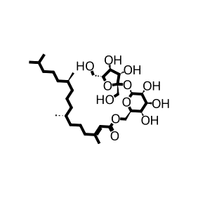 C/C(=C\C(=O)OC[C@H]1O[C@H](O[C@]2(CO)O[C@H](CO)[C@@H](O)[C@@H]2O)[C@H](O)[C@@H](O)[C@@H]1O)CCC[C@H](C)CCC[C@H](C)CCCC(C)C